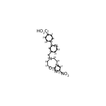 O=C(O)c1ccc(-c2cc(CN3CCOc4nc([N+](=O)[O-])cn4CC3)ccn2)cc1